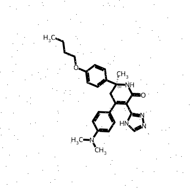 CCCCOc1ccc([C@]2(C)CC(c3ccc(N(C)C)cc3)=C(c3nnc[nH]3)C(=O)N2)cc1